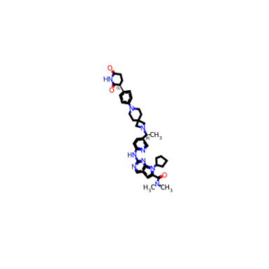 C[C@H](c1ccc(Nc2ncc3cc(C(=O)N(C)C)n(C4CCCC4)c3n2)nc1)N1CC2(CCN(c3ccc([C@@H]4CCC(=O)NC4=O)cc3)CC2)C1